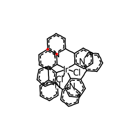 [Cl][Ir]([Cl])([c]1ccccc1-c1ccccn1)([c]1ccccc1-c1ccccn1)([c]1ccccc1-c1ccccn1)[c]1ccccc1-c1ccccn1